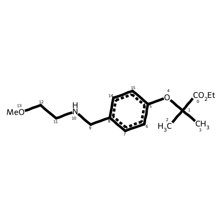 CCOC(=O)C(C)(C)Oc1ccc(CNCCOC)cc1